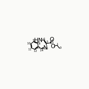 CCOC(=O)C1=CNc2ccccc2C=N1